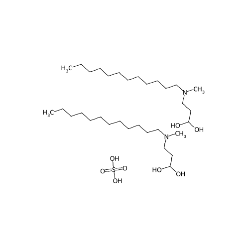 CCCCCCCCCCCCN(C)CCC(O)O.CCCCCCCCCCCCN(C)CCC(O)O.O=S(=O)(O)O